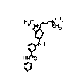 Cc1cc2cc(Nc3cccc(C(=O)Nc4ccccc4)c3)ccc2n1CCCN(C)C